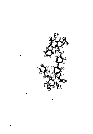 CCN(C(=O)c1cc2ccccc2[nH]1)C1CC(NCc2ccc(-c3ccc4[nH]c(C(=O)N(CC)[C@@H]5C[C@@H](NCc6ccccc6)CS(=O)(=O)C5)cc4c3)cc2)CS(=O)(=O)C1